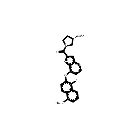 CO[C@H]1CCN(C(=O)c2cc3nccc(Oc4ccc5c(C(=O)O)cccc5c4F)c3s2)C1